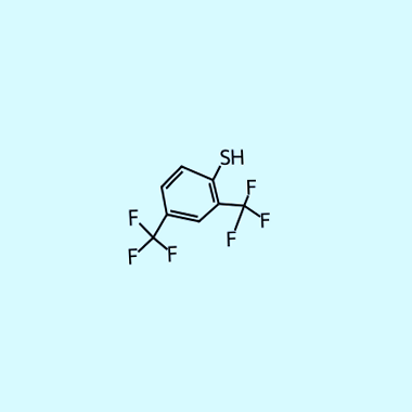 FC(F)(F)c1ccc(S)c(C(F)(F)F)c1